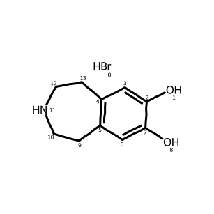 Br.Oc1cc2c(cc1O)CCNCC2